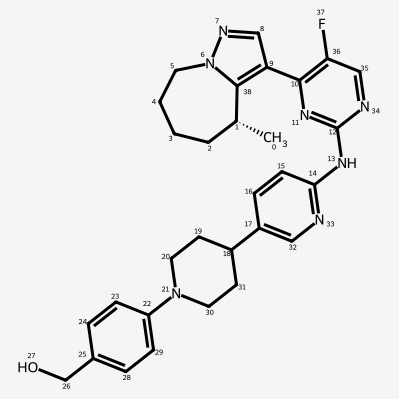 C[C@@H]1CCCCn2ncc(-c3nc(Nc4ccc(C5CCN(c6ccc(CO)cc6)CC5)cn4)ncc3F)c21